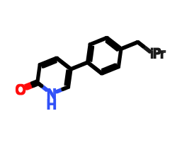 CC(C)Cc1ccc(-c2ccc(=O)[nH]c2)cc1